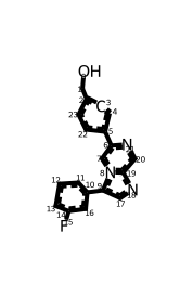 OCc1ccc(-c2cn3c(-c4cccc(F)c4)cnc3cn2)cc1